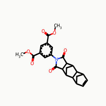 COC(=O)c1cc(C(=O)OC)cc(N2C(=O)C3C4CC(C3C2=O)C2C3C=CC(C3)C42)c1